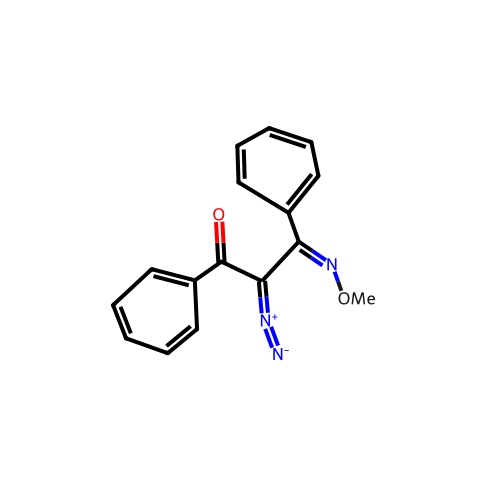 CO/N=C(\C(=[N+]=[N-])C(=O)c1ccccc1)c1ccccc1